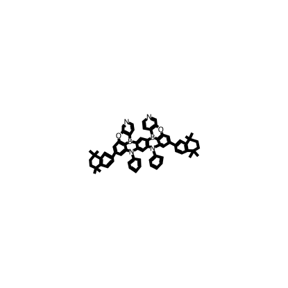 CC1(C)CCC(C)(C)c2cc(-c3cc4c5c(c3)N(c3ccccc3)c3cc6c(cc3B5c3ccncc3O4)B3c4ccncc4Oc4cc(-c5ccc7c(c5)C(C)(C)CCC7(C)C)cc(c43)N6c3ccccc3)ccc21